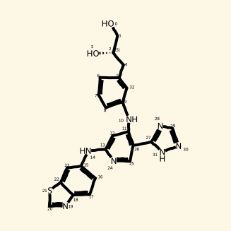 OC[C@@H](O)Cc1cccc(Nc2cc(Nc3ccc4ncsc4c3)ncc2-c2ncn[nH]2)c1